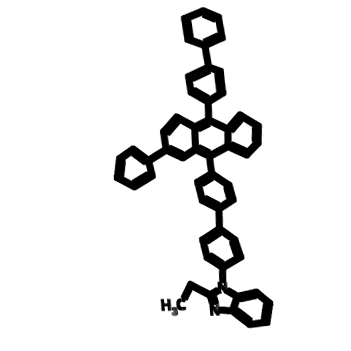 CCc1nc2ccccc2n1-c1ccc(-c2ccc(-c3c4ccccc4c(-c4ccc(-c5ccccc5)cc4)c4ccc(-c5ccccc5)cc34)cc2)cc1